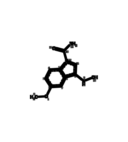 COc1ccc2c(c1)c(NO)cn2C(N)=O